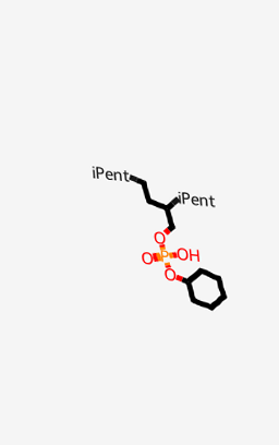 CCCC(C)CCC(COP(=O)(O)OC1CCCCC1)C(C)CCC